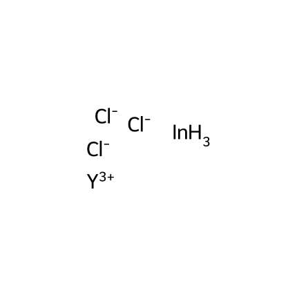 [Cl-].[Cl-].[Cl-].[InH3].[Y+3]